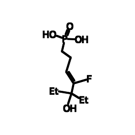 CCC(O)(CC)C(F)=CCCP(=O)(O)O